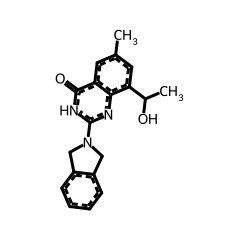 Cc1cc(C(C)O)c2nc(N3Cc4ccccc4C3)[nH]c(=O)c2c1